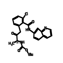 C[C@H](NC(=O)OC(C)(C)C)C(=O)Cc1cccc(Cl)c1C(=O)Nc1ccc2cccnc2c1